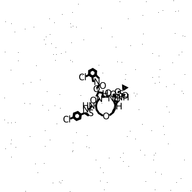 O=C1N[C@]2(C(=O)NS(=O)(=O)C3CC3)C[C@H]2/C=C\COCCC[C@H](Nc2nc(-c3ccc(Cl)cc3)cs2)C(=O)N2C[C@H](OC(=O)N3Cc4cccc(Cl)c4C3)C[C@@H]12